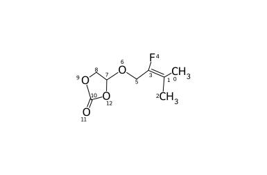 CC(C)=C(F)COC1COC(=O)O1